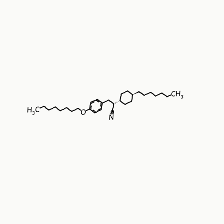 CCCCCCCCOc1ccc(CC(C#N)[C@H]2CC[C@H](CCCCCCC)CC2)cc1